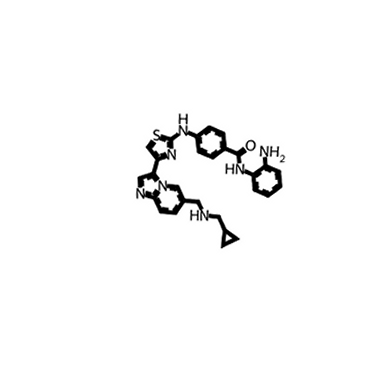 Nc1ccccc1NC(=O)c1ccc(Nc2nc(-c3cnc4ccc(CNCC5CC5)cn34)cs2)cc1